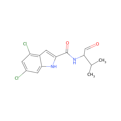 CC(C)C(C=O)NC(=O)c1cc2c(Cl)cc(Cl)cc2[nH]1